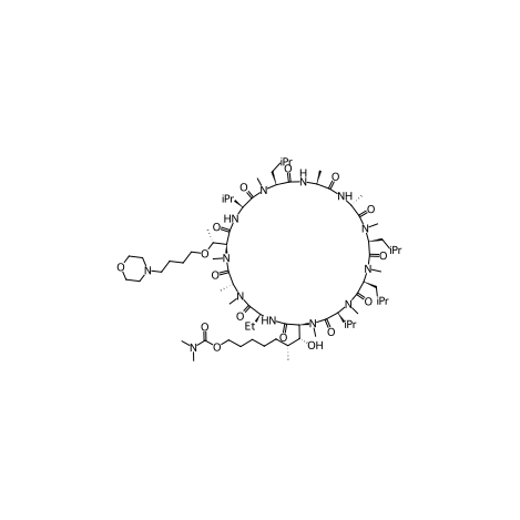 CC[C@@H]1NC(=O)[C@H]([C@H](O)[C@H](C)CCCCCOC(=O)N(C)C)N(C)C(=O)[C@H](C(C)C)N(C)C(=O)[C@H](CC(C)C)N(C)C(=O)[C@H](CC(C)C)N(C)C(=O)[C@@H](C)NC(=O)[C@H](C)NC(=O)[C@H](CC(C)C)N(C)C(=O)[C@H](C(C)C)NC(=O)[C@H]([C@@H](C)OCCCCN2CCOCC2)N(C)C(=O)[C@@H](C)N(C)C1=O